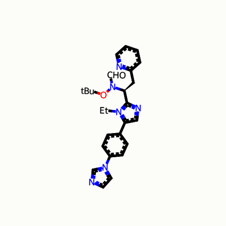 CCn1c(-c2ccc(-n3ccnc3)cc2)cnc1[C@H](Cc1ccccn1)N(C=O)OC(C)(C)C